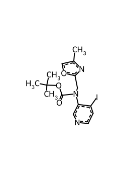 Cc1coc(CN(C(=O)OC(C)(C)C)c2cnccc2I)n1